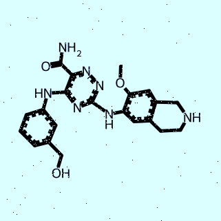 COc1cc2c(cc1Nc1nnc(C(N)=O)c(Nc3cccc(CO)c3)n1)CCNC2